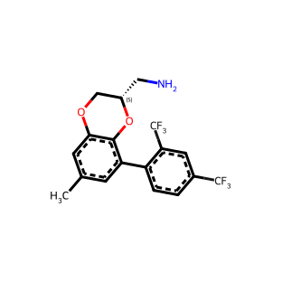 Cc1cc2c(c(-c3ccc(C(F)(F)F)cc3C(F)(F)F)c1)O[C@@H](CN)CO2